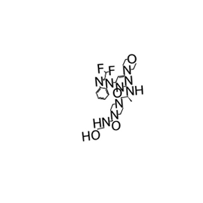 C[C@H](Nc1nc(N2CCOCC2)cc(-n2c(C(F)F)nc3ccccc32)n1)C(=O)N1CCN(C(=O)NCCO)CC1